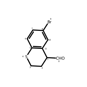 O=CC1CCSc2ccc(Br)cc21